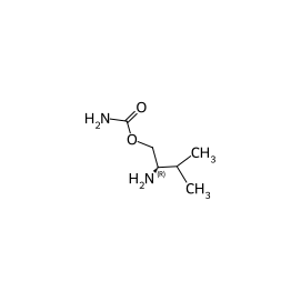 CC(C)[C@@H](N)COC(N)=O